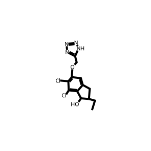 CCC1Cc2cc(OCc3nnn[nH]3)c(Cl)c(Cl)c2C1O